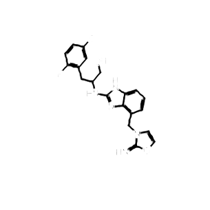 N=c1occn1Cc1cccc2[nH]c(NC(CO)Cc3cc(Cl)ccc3F)nc12